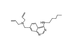 C=CCN(CC=C)Cc1ccc2c(NCCCCC)ncnc2c1